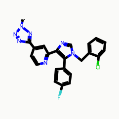 [CH2]n1nnc(-c2ccnc(-c3ncn(Cc4ccccc4Cl)c3-c3ccc(F)cc3)c2)n1